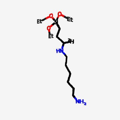 [2H]C(CC[Si](OCC)(OCC)OCC)NCCCCCCN